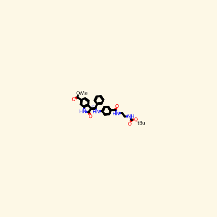 COC(=O)c1ccc2c(c1)NC(=O)/C2=C(\Nc1ccc(C(=O)NCCNC(=O)OC(C)(C)C)cc1)c1ccccc1